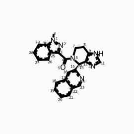 Cn1nc(C(=O)N2CCc3[nH]cnc3[C@H]2c2cc3ccccc3cn2)c2ccccc21